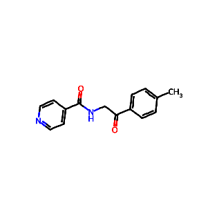 Cc1ccc(C(=O)CNC(=O)c2ccncc2)cc1